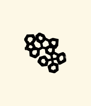 c1ccc(-c2ccccc2C(c2ccc3c(c2)C(c2ccccc2)(c2ccccc2)c2ccccc2-3)c2cccc3oc4ccccc4c23)cc1